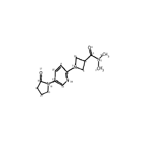 CN(C)C(=O)C1CN(c2ccc(N3CCCC3=O)cn2)C1